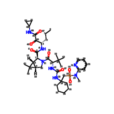 CCC[C@H](NC(=O)[C@@H]1[C@@H]2[C@H](CN1C(=O)[C@@H](NC(=O)NC1(CS(=O)(=O)N(C)c3ccccn3)CCCCC1)C(C)(C)C)C2(C)C)C(=O)C(=O)NC1CC1